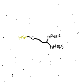 CCCCCCCC(CCCCC)CCCCS